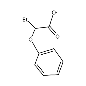 CCC(Oc1ccccc1)C([O])=O